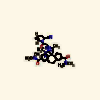 CNC(=N)C1(C[C@H](C)NCC(=O)N2[C@H](C#N)C[C@@H]3C[C@@H]32)c2ccc(C(=O)N(C)C)cc2CCc2cc(C(=O)N(C)C)ccc21